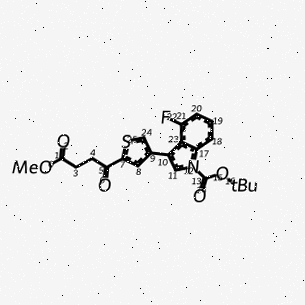 COC(=O)CCC(=O)c1cc(-c2cn(C(=O)OC(C)(C)C)c3cccc(F)c23)cs1